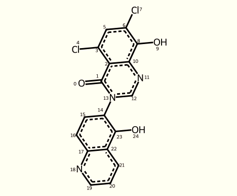 O=c1c2c(Cl)cc(Cl)c(O)c2ncn1-c1ccc2ncccc2c1O